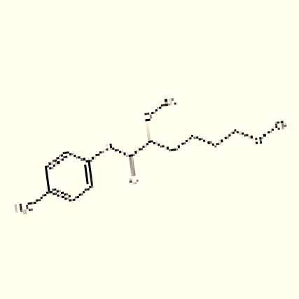 Cc1ccc(OC(=O)C(CCCCOC#N)OC#N)cc1